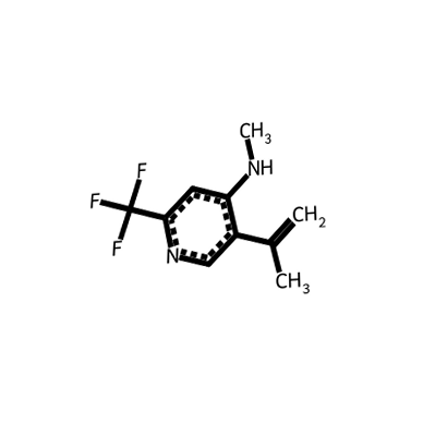 C=C(C)c1cnc(C(F)(F)F)cc1NC